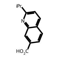 CC(C)c1ccc2ccc(C(=O)O)cc2n1